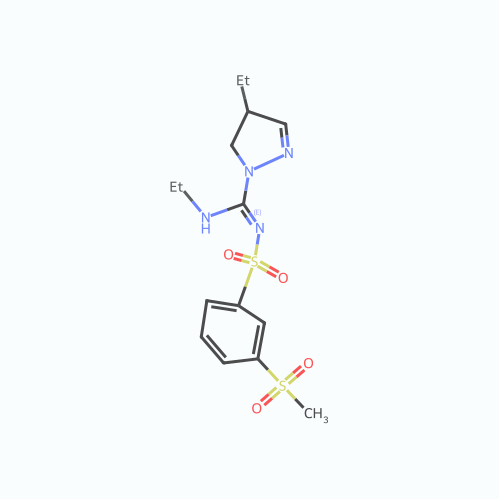 CCN/C(=N\S(=O)(=O)c1cccc(S(C)(=O)=O)c1)N1CC(CC)C=N1